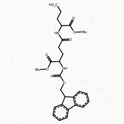 CC(C)(C)OC(=O)C(CCC(=O)O)NC(=O)CCC(NC(=O)OCC1c2ccccc2-c2ccccc21)C(=O)OC(C)(C)C